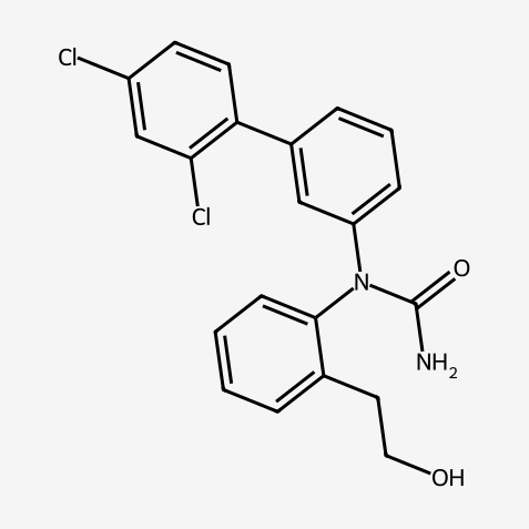 NC(=O)N(c1cccc(-c2ccc(Cl)cc2Cl)c1)c1ccccc1CCO